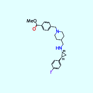 COC(=O)c1ccc(CN2CCC(CN[C@@H]3C[C@H]3c3ccc(I)cc3)CC2)cc1